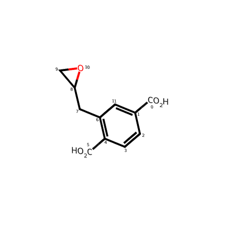 O=C(O)c1ccc(C(=O)O)c(CC2CO2)c1